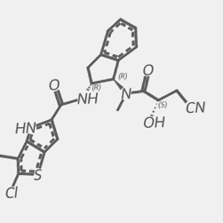 CN(C(=O)[C@@H](O)CC#N)[C@@H]1c2ccccc2C[C@H]1NC(=O)c1cc2sc(Cl)c(Cl)c2[nH]1